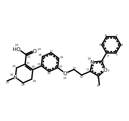 Cc1oc(-c2ccccc2)nc1CCOc1cccc(C2=C(C(=O)O)CN(C)CC2)c1